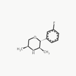 C[C@H]1CO[C@H](c2cccc(F)c2)[C@@H](C)N1